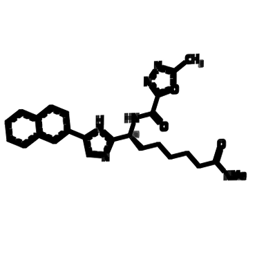 CNC(=O)CCCCC[C@H](NC(=O)c1nnc(C)o1)c1ncc(-c2ccc3ccccc3c2)[nH]1